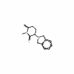 C=C1CCC(N2Cc3ccccc3C2)C(=O)N1C